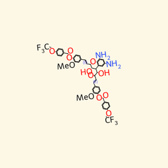 COc1cc(/C=C/C(=O)C(O)C(c2cc(N)cc(N)c2)C(O)C(=O)/C=C/c2ccc(OC(=O)c3ccc(OCC(F)(F)F)cc3)c(OC)c2)ccc1OC(=O)c1ccc(OCC(F)(F)F)cc1